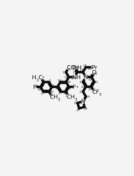 Cc1cc(-c2cc(C)c(F)c(C(CC(=O)O)NC(=O)C(CC(C)C)n3cc(CCN4CCC4)c(C(F)(F)F)cc3=O)c2)c(C)cc1F